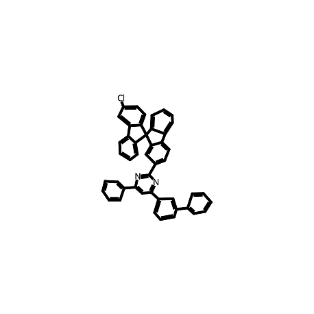 Clc1ccc2c(c1)-c1ccccc1C21c2ccccc2-c2ccc(-c3nc(-c4ccccc4)cc(-c4cccc(-c5ccccc5)c4)n3)cc21